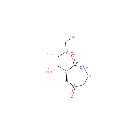 C/C=C/[C@@H](C)[C@@H](O)[C@@H]1CC(=O)CCNC1=O